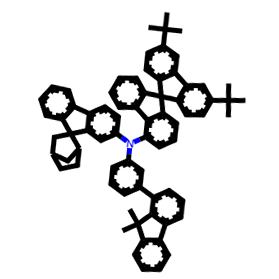 CC(C)(C)c1ccc2c(c1)-c1cc(C(C)(C)C)ccc1C21c2ccccc2-c2c(N(c3cccc(-c4cccc5c4C(C)(C)c4ccccc4-5)c3)c3ccc4c(c3)C3(CC5CCC3C5)c3ccccc3-4)cccc21